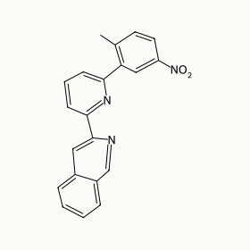 Cc1ccc([N+](=O)[O-])cc1-c1cccc(-c2cc3ccccc3cn2)n1